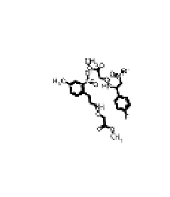 COC(=O)CONC(C[N+](=O)[O-])c1ccc(F)cc1.COC(=O)CONCCc1ccc(C)cc1[N+](=O)[O-]